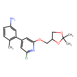 Cc1ccc(N)cc1-c1cc(Cl)nc(OCC2COC(C)(C)O2)c1